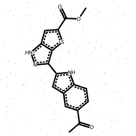 COC(=O)c1cc2[nH]nc(-c3cc4cc(C(C)=O)ccc4[nH]3)c2s1